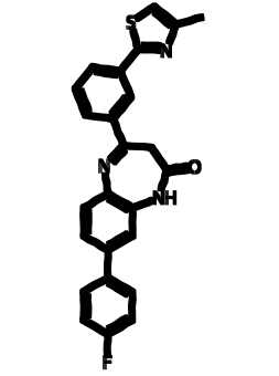 Cc1csc(-c2cccc(C3=Nc4ccc(-c5ccc(F)cc5)cc4NC(=O)C3)c2)n1